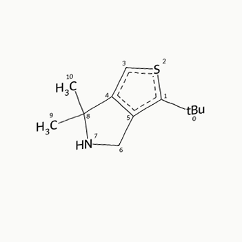 CC(C)(C)c1scc2c1CNC2(C)C